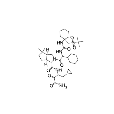 CC1(C)CC[C@@H]2[C@@H](C(=O)NC(CC3CC3)C(=O)C(N)=O)N(C(=O)[C@@H](NC(=O)NC3(CS(=O)(=O)C(C)(C)C)CCCCC3)C3CCCCC3)C[C@@H]21